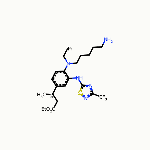 CCOC(=O)C[C@@H](C)c1ccc(N(CCCCCN)CC(C)C)c(Nc2nc(C(F)(F)F)ns2)c1